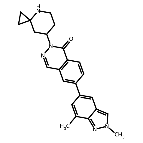 Cc1cc(-c2ccc3c(=O)n(C4CCNC5(CC5)C4)ncc3c2)cc2cn(C)nc12